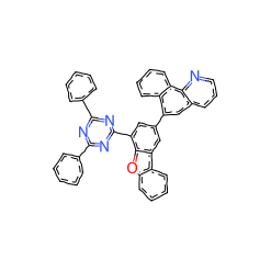 c1ccc(-c2nc(-c3ccccc3)nc(-c3cc(-c4cc5cccnc5c5ccccc45)cc4c3oc3ccccc34)n2)cc1